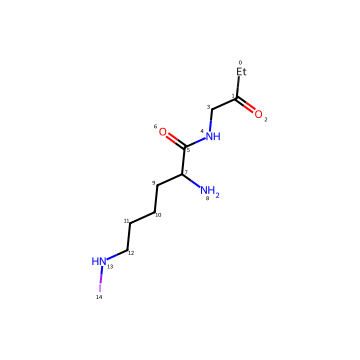 CCC(=O)CNC(=O)C(N)CCCCNI